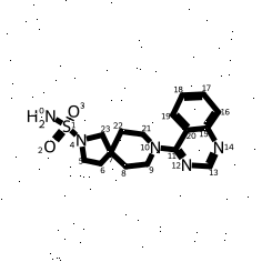 NS(=O)(=O)N1CCC2(CCN(c3ncnc4ccccc34)CC2)C1